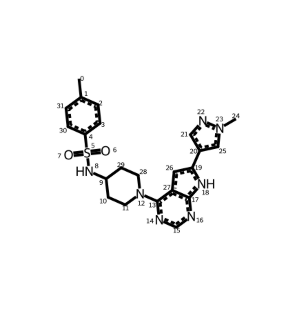 Cc1ccc(S(=O)(=O)NC2CCN(c3ncnc4[nH]c(-c5cnn(C)c5)cc34)CC2)cc1